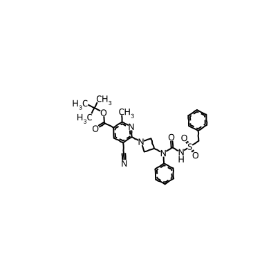 Cc1nc(N2CC(N(C(=O)NS(=O)(=O)Cc3ccccc3)c3ccccc3)C2)c(C#N)cc1C(=O)OC(C)(C)C